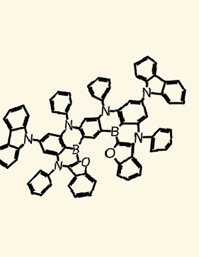 c1ccc(N2c3cc4c(cc3B3c5oc6ccccc6c5N(c5ccccc5)c5cc(-n6c7ccccc7c7ccccc76)cc2c53)B2c3oc5ccccc5c3N(c3ccccc3)c3cc(-n5c6ccccc6c6ccccc65)cc(c32)N4c2ccccc2)cc1